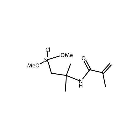 C=C(C)C(=O)NC(C)(C)C[Si](Cl)(OC)OC